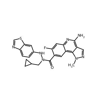 Cn1ncc2c(N)nc3cc(F)c(C(=O)N(CC4CC4)Nc4ccc5ncsc5c4)cc3c21